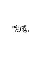 Cc1cc(F)c(OC(=O)NC(C)C)cc1SSc1cc(OC(=O)NC(C)C)c(F)cc1C